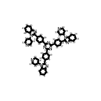 c1ccc2c(c1)nc(-c1ccc(-c3nc(-c4ccc(-c5nc6ccccc6n5-c5ccncc5)cc4)nc(-c4ccc(-c5nc6ccccc6n5-c5ccncc5)cc4)n3)cc1)n2-c1ccncc1